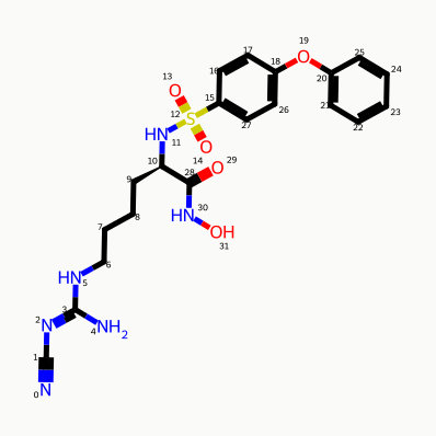 N#C/N=C(\N)NCCCC[C@@H](NS(=O)(=O)c1ccc(Oc2ccccc2)cc1)C(=O)NO